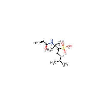 C=CC(=O)NC(C)(C)C(CCC(C)C)S(=O)(=O)O